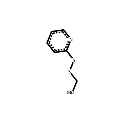 CC(C)(C)CSSc1ccccn1